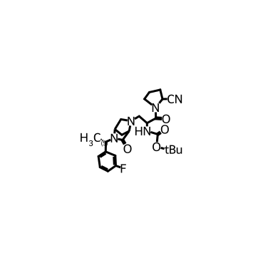 C[C@@H](c1cccc(F)c1)N1C(=O)C2CC1CN2CC(NC(=O)OC(C)(C)C)C(=O)N1CCCC1C#N